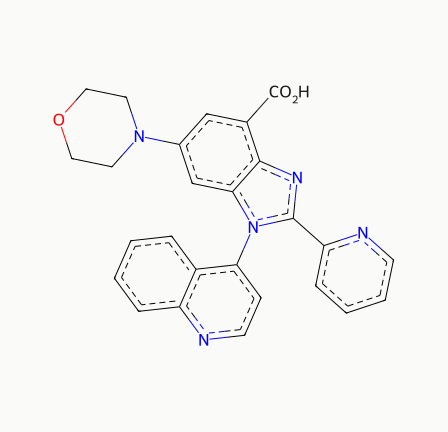 O=C(O)c1cc(N2CCOCC2)cc2c1nc(-c1ccccn1)n2-c1ccnc2ccccc12